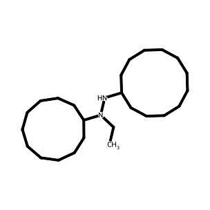 CCN(NC1CCCCCCCCCCC1)C1CCCCCCCCCC1